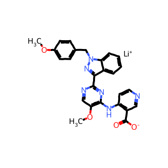 COc1ccc(Cn2nc(-c3ncc(OC)c(Nc4ccncc4C(=O)[O-])n3)c3ccccc32)cc1.[Li+]